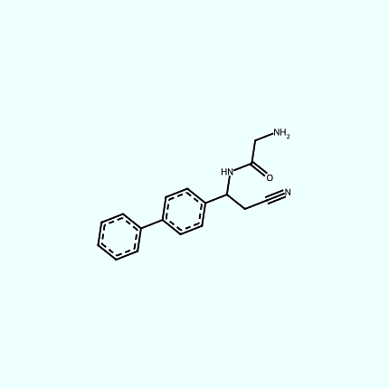 N#CCC(NC(=O)CN)c1ccc(-c2ccccc2)cc1